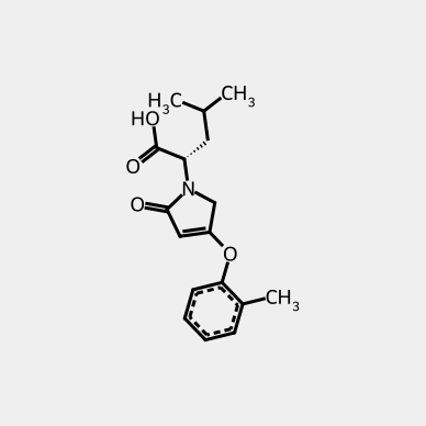 Cc1ccccc1OC1=CC(=O)N([C@@H](CC(C)C)C(=O)O)C1